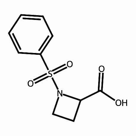 O=C(O)C1CCN1S(=O)(=O)c1ccccc1